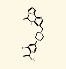 CCc1cc(N2CCN(Cc3cnc4c(c3)[nH]c(=O)n3cccc43)CC2)ccc1C(N)=O